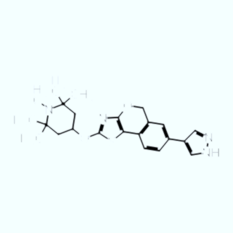 CN1C(C)(C)CC(Oc2nc3c(s2)-c2ccc(-c4cn[nH]c4)cc2CO3)CC1(C)C